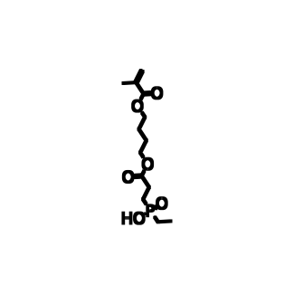 C=C(C)C(=O)OCCCCOC(=O)CCP(=O)(O)CC